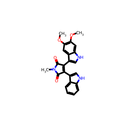 COc1cc2[nH]cc(C3=C(c4c[nH]c5ccccc45)C(=O)N(C)C3=O)c2cc1OC